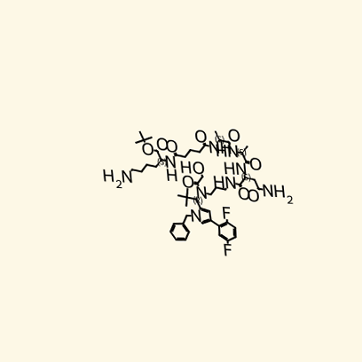 C[C@H](NC(=O)CCCC(=O)N[C@@H](CCCCN)C(=O)OC(C)(C)C)C(=O)N[C@@H](C)C(=O)N[C@@H](CC(N)=O)C(=O)NCCCN(C(=O)CO)[C@@H](c1cc(-c2cc(F)ccc2F)cn1Cc1ccccc1)C(C)(C)C